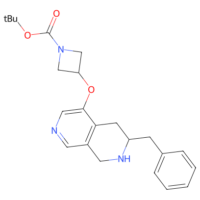 CC(C)(C)OC(=O)N1CC(Oc2cncc3c2CC(Cc2ccccc2)NC3)C1